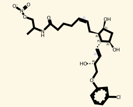 CC(CO[N+](=O)[O-])NC(=O)CCC/C=C\C[C@@H]1[C@@H](/C=C/[C@@H](O)COc2cccc(Cl)c2)[C@H](O)C[C@@H]1O